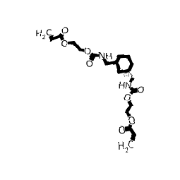 C=CC(=O)OCCOC(=O)NCC1CCC[C@H](CNC(=O)OCCOC(=O)C=C)C1